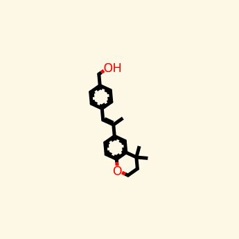 CC(=Cc1ccc(CO)cc1)c1ccc2c(c1)C(C)(C)CCO2